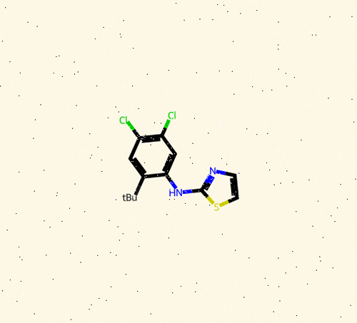 CC(C)(C)c1cc(Cl)c(Cl)cc1Nc1nccs1